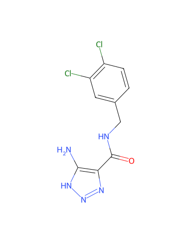 Nc1[nH]nnc1C(=O)NCc1ccc(Cl)c(Cl)c1